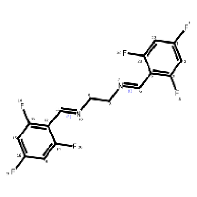 Fc1cc(F)c(/C=N/CC/N=C/c2c(F)cc(F)cc2F)c(F)c1